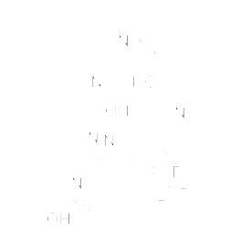 O=C(CO)N1CCc2c(c(-c3ccc(C(F)(F)F)c(SCCN4CCCC(O)C4)c3)nn2CC(O)CN2CCC(N3CCCC3=O)CC2)C1